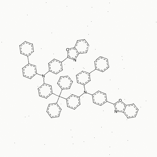 c1ccc(-c2cccc(N(c3ccc(-c4nc5ccccc5o4)cc3)c3cccc(C(c4ccccc4)(c4ccccc4)c4cccc(N(c5ccc(-c6nc7ccccc7o6)cc5)c5cccc(-c6ccccc6)c5)c4)c3)c2)cc1